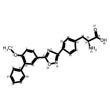 COc1ccc(-c2nc(-c3ccc(C[C@H](N)C(=O)O)cc3)no2)cc1-c1ccccc1